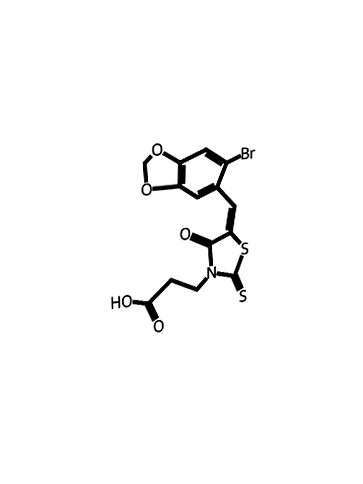 O=C(O)CCN1C(=O)/C(=C\c2cc3c(cc2Br)OCO3)SC1=S